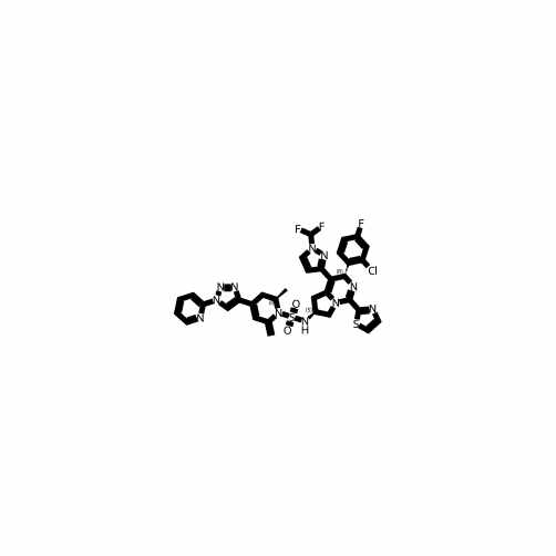 C=C1C=C(c2cn(-c3ccccn3)nn2)C[C@@H](C)N1S(=O)(=O)N[C@H]1CC2=C(c3ccn(C(F)F)n3)[C@H](c3ccc(F)cc3Cl)N=C(c3nccs3)N2C1